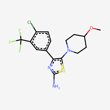 COC1CCN(c2sc(N)nc2-c2ccc(Cl)c(C(F)(F)F)c2)CC1